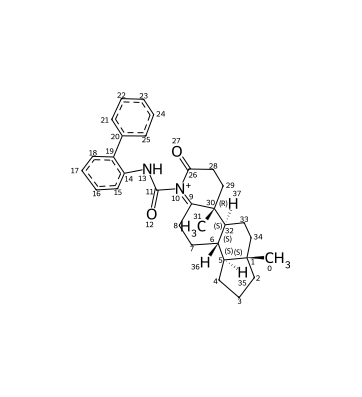 C[C@@]12CCC[C@H]1[C@@H]1CCC3=[N+](C(=O)Nc4ccccc4-c4ccccc4)C(=O)CC[C@]3(C)[C@H]1CC2